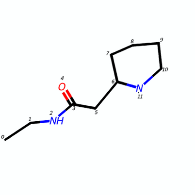 CCNC(=O)CC1CCCC[N]1